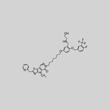 Cn1c2nc(Cc3ccccn3)sc2c2cnn(CCCCCCCOc3ccc(OCc4ccc(F)c(C(F)(F)F)c4)c(CNCCO)c3)c(=O)c21